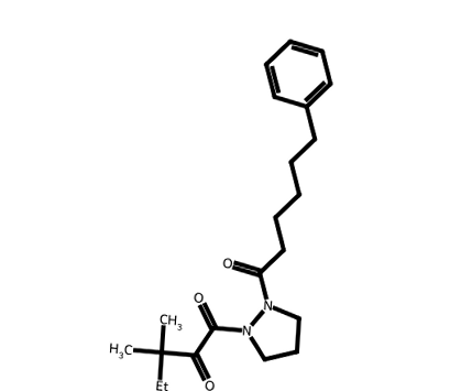 CCC(C)(C)C(=O)C(=O)N1CCCN1C(=O)CCCCCc1ccccc1